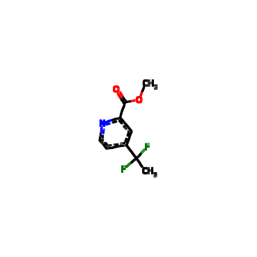 COC(=O)c1cc(C(C)(F)F)ccn1